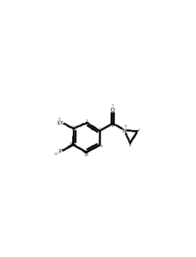 CCc1cc(C(=O)N2CC2)ccc1F